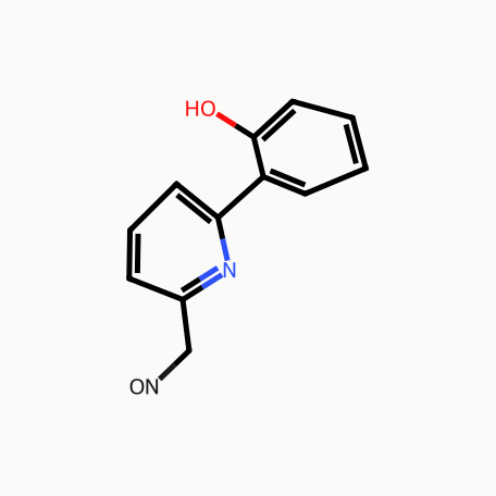 O=NCc1cccc(-c2ccccc2O)n1